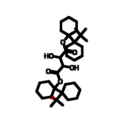 CC(C)(C)C1(C2(OC(=O)C(O)C(O)C(=O)OC3(C4(C(C)(C)C)CCCCC4)CCCCC3)CCCCC2)CCCCC1